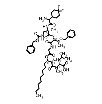 CCCCCCCCCC[C@@H](OC(=O)CNC(=O)[C@@H](NC(=O)[C@@](C)(CNC(=O)OCc1ccccc1)NC(=O)C(N)C1CCC(F)(F)CC1)[C@H](C)OCc1ccccc1)[C@@H](C)C(=O)N(C)[C@@H](CC(C)C)C(=O)O